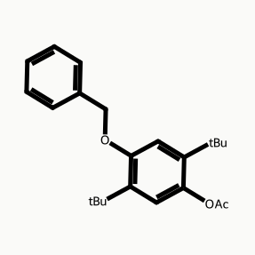 CC(=O)Oc1cc(C(C)(C)C)c(OCc2ccccc2)cc1C(C)(C)C